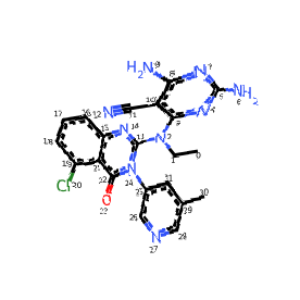 CCN(c1nc(N)nc(N)c1C#N)c1nc2cccc(Cl)c2c(=O)n1-c1cncc(C)c1